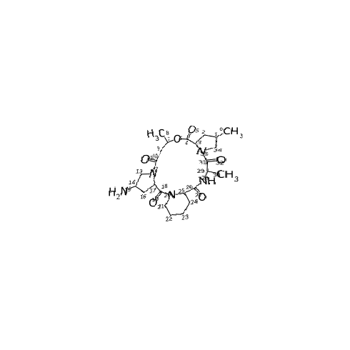 CC1CC2C(=O)OC(C)CC(=O)N3CC(N)CC3C(=O)N3CCCCC3C(=O)NC(C)C(=O)N2C1